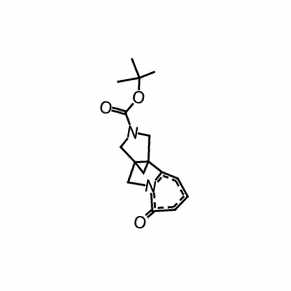 CC(C)(C)OC(=O)N1CC23Cn4c(cccc4=O)C2(C1)C3